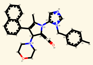 CC1=C(c2cccc3ccccc23)C(N2CCOCC2)C(=C=O)N1c1cncn1Cc1ccc(C)cc1